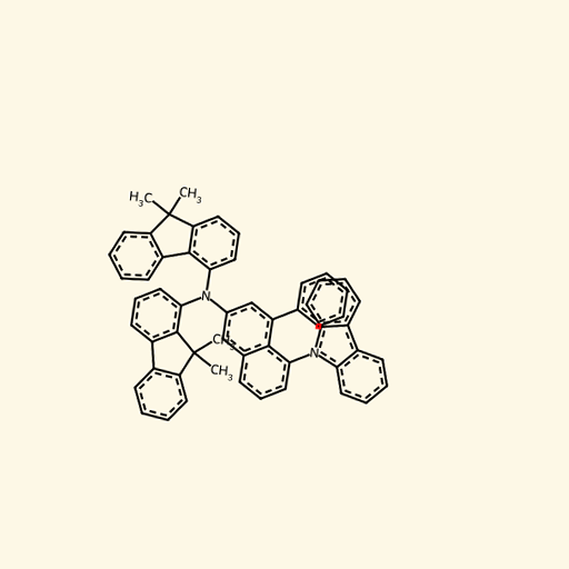 CC1(C)c2ccccc2-c2c(N(c3cc(-c4ccccc4)c4c(-n5c6ccccc6c6ccccc65)cccc4c3)c3cccc4c3C(C)(C)c3ccccc3-4)cccc21